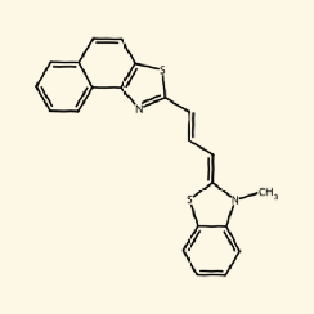 CN1C(=CC=Cc2nc3c(ccc4ccccc43)s2)Sc2ccccc21